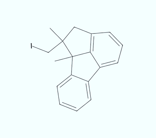 CC1(CI)Cc2cccc3c2C1(C)c1ccccc1-3